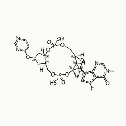 CO[C@H]1[C@H]2OP(=O)(S)OC[C@H]3C[C@@H](Oc4ccncn4)C[C@@H]3OP(=O)(S)OC[C@H]1O[C@H]2n1cc(F)c2c(=O)n(C)cnc21